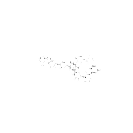 C1=CCCC(c2cccc(-c3nc(-c4ccc(-c5ccc6c(c5)sc5ccccc56)cc4)nc(-c4cccc(-c5cccc(-c6ccccc6)c5)c4)n3)c2)=C1